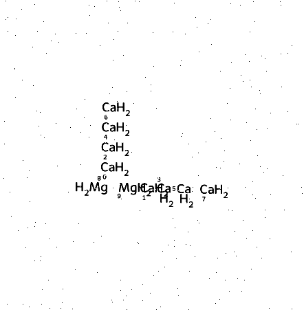 [CaH2].[CaH2].[CaH2].[CaH2].[CaH2].[CaH2].[CaH2].[CaH2].[MgH2].[MgH2]